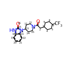 O=C(CC1CCC(C(F)(F)F)CC1)N1CCC(n2c(=O)[nH]c3ccccc32)CC1